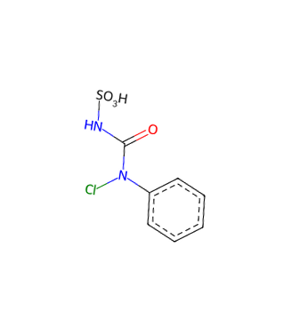 O=C(NS(=O)(=O)O)N(Cl)c1ccccc1